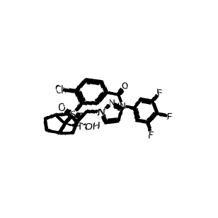 O=C(Nc1cc(F)c(F)c(F)c1)c1ccc(Cl)c(S(=O)(=O)[C@H]2C3CCC2C[C@](O)(Cn2cccn2)C3)c1